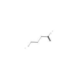 CCCCCCC([NH])=S